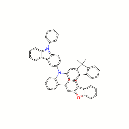 CC1(C)c2ccccc2-c2ccc(N(c3ccc4c(c3)c3ccccc3n4-c3ccccc3)c3ccccc3-c3ccc4c(c3)oc3ccccc34)cc21